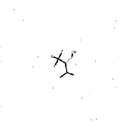 CC(C)[C@@H](CO)C(F)(F)F